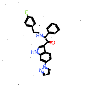 O=C(c1c[nH]c2cc(-n3cccn3)ccc12)C(NCCc1ccc(F)cc1)c1ccccc1